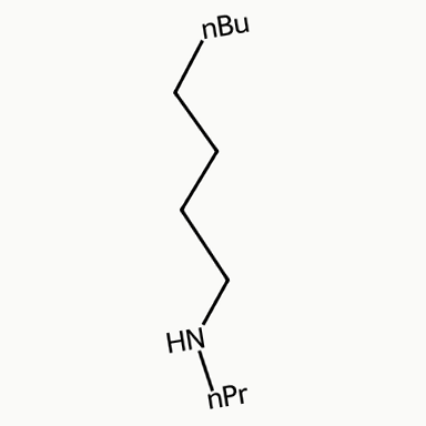 [CH2]CCNCCCCCCCC